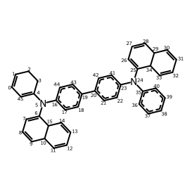 C1=CCCC(N(C2=CC=CC3C=CC=CC23)c2ccc(-c3ccc(N(C4=CC=CC5C=CC=CC45)c4ccccc4)cc3)cc2)=C1